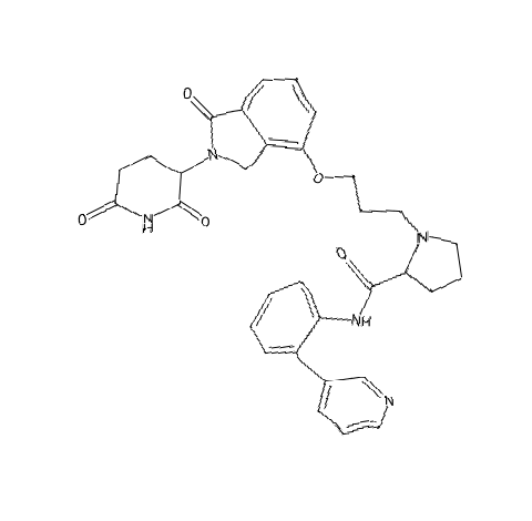 O=C1CCC(N2Cc3c(OCCCN4CCCC4C(=O)Nc4ccccc4-c4cccnc4)cccc3C2=O)C(=O)N1